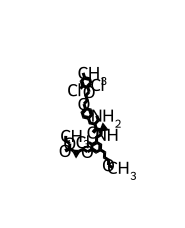 CCOC(=O)C1CC1COc1cc(CCCOC)cc(CNC2(C(=O)C(CN)Cc3ccc(OCCOc4c(Cl)cc(C)cc4Cl)cc3)CC2)c1Cl